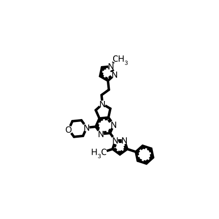 Cc1cc(-c2ccccc2)nn1-c1nc2c(c(N3CCOCC3)n1)CN(CCc1ccn(C)n1)C2